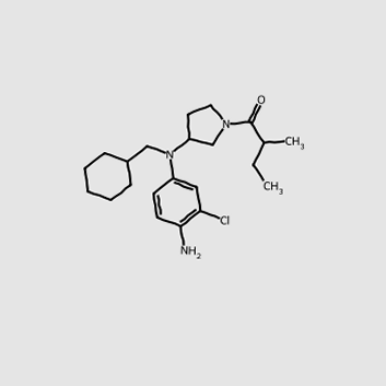 CCC(C)C(=O)N1CCC(N(CC2CCCCC2)c2ccc(N)c(Cl)c2)C1